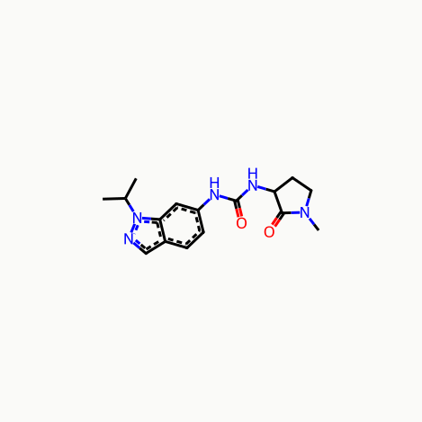 CC(C)n1ncc2ccc(NC(=O)NC3CCN(C)C3=O)cc21